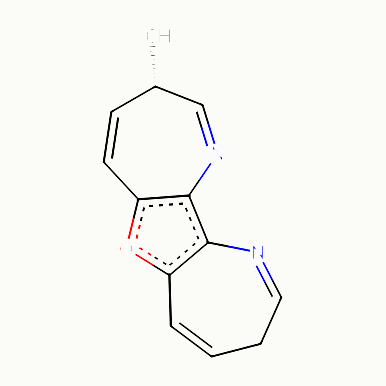 C[C@H]1C=Cc2oc3c(c2N=C1)N=CCC=C3